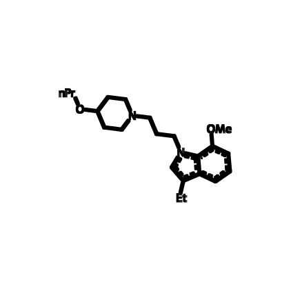 CCCOC1CCN(CCCn2cc(CC)c3cccc(OC)c32)CC1